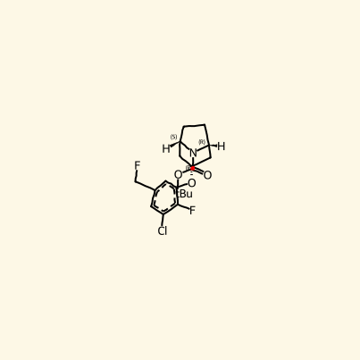 CC(C)(C)OC(=O)N1[C@@H]2CC[C@H]1C[C@@H](Oc1cc(CF)cc(Cl)c1F)C2